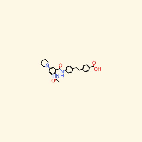 CC(=O)Nc1ccc(N2CCCCC2)cc1C(=O)Nc1ccc(CCc2ccc(C(=O)O)cc2)cc1